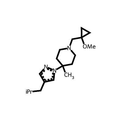 COC1(CN2CCC(C)(n3cc(CC(C)C)cn3)CC2)CC1